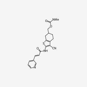 CNC(=O)OCC1CCc2c(sc(NC(=O)/C=C/c3cccnc3)c2C#N)C1